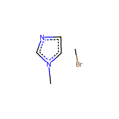 CBr.Cn1ccnc1